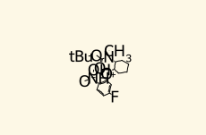 CN(C(=O)OC(C)(C)C)[C@@H]1CCCC[C@H]1Oc1cc(F)ccc1[NH+]([O-])O